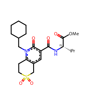 COC(=O)[C@@H](NC(=O)c1cc2c(n(CC3CCCCC3)c1=O)CCS(=O)(=O)C2)C(C)C